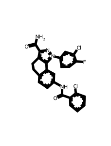 NC(=O)c1nn(-c2ccc(F)c(Cl)c2)c2c1CCc1ccc(NC(=O)c3ccccc3Cl)cc1-2